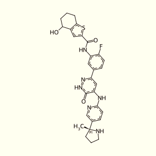 C[C@]1(c2ccc(Nc3cc(-c4ccc(F)c(NC(=O)c5cc6c(s5)CCCC6O)c4)n[nH]c3=O)nc2)CCCN1